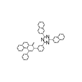 C=C1c2ccc3ccccc3c2C(c2ccccc2)=CC1c1cccc(-c2nc(-c3ccc4ccccc4c3)nc(-c3ccc4ccccc4c3)n2)c1